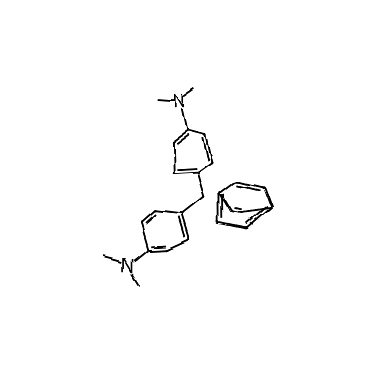 CN(C)c1ccc(Cc2ccc(N(C)C)cc2)cc1.c1cc2ccc1cc2